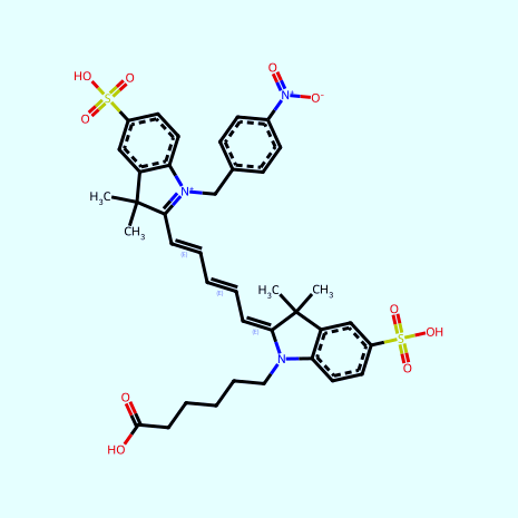 CC1(C)C(/C=C/C=C/C=C2/N(CCCCCC(=O)O)c3ccc(S(=O)(=O)O)cc3C2(C)C)=[N+](Cc2ccc([N+](=O)[O-])cc2)c2ccc(S(=O)(=O)O)cc21